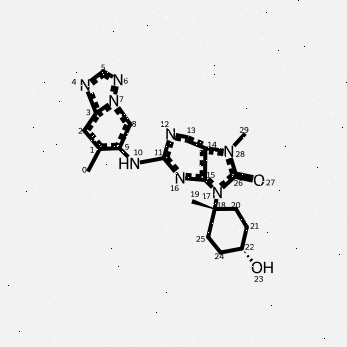 Cc1cc2ncnn2cc1Nc1ncc2c(n1)n([C@]1(C)CC[C@H](O)CC1)c(=O)n2C